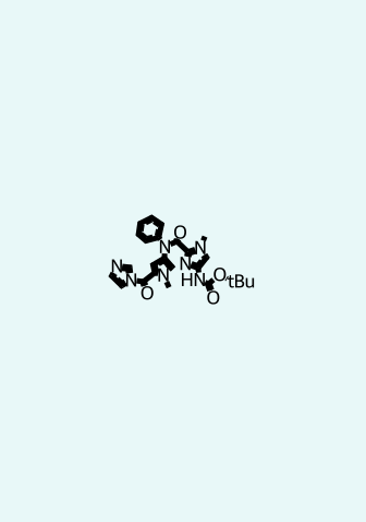 Cn1cc(N(C(=O)c2nc(NC(=O)OC(C)(C)C)cn2C)c2ccccc2)cc1C(=O)n1ccnc1